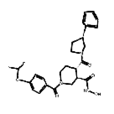 O=C(NO)[C@H]1CN(C(=O)c2ccc(OC(F)F)cc2)CC[C@@H]1C(=O)N1CC[C@@H](c2ccccc2)C1